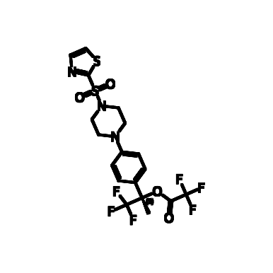 C[C@](OC(=O)C(F)(F)F)(c1ccc(N2CCN(S(=O)(=O)c3nccs3)CC2)cc1)C(F)(F)F